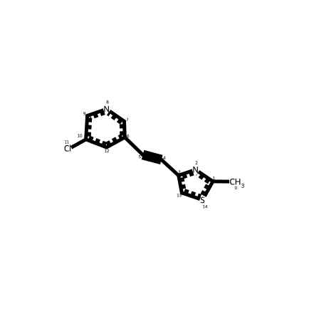 Cc1nc(C#Cc2cncc(Cl)c2)cs1